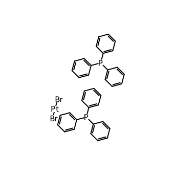 [Br][Pt][Br].c1ccc(P(c2ccccc2)c2ccccc2)cc1.c1ccc(P(c2ccccc2)c2ccccc2)cc1